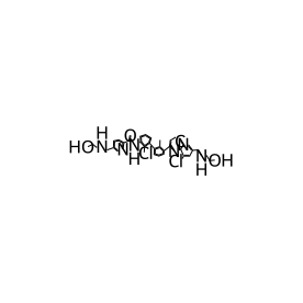 Cc1c(C2=CCCN3C=C(CNCCO)C=C(Cl)C3=N2)cccc1-c1cccc(NC(=O)c2ccc(CNCCO)cn2)c1Cl